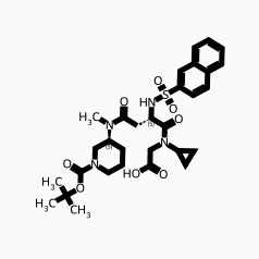 CN(C(=O)C[C@H](NS(=O)(=O)c1ccc2ccccc2c1)C(=O)N(CC(=O)O)C1CC1)[C@H]1CCCN(C(=O)OC(C)(C)C)C1